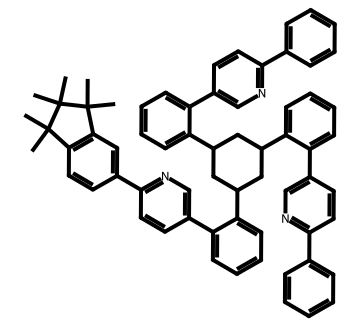 CC1(C)c2ccc(-c3ccc(-c4ccccc4C4CC(c5ccccc5-c5ccc(-c6ccccc6)nc5)CC(c5ccccc5-c5ccc(-c6ccccc6)nc5)C4)cn3)cc2C(C)(C)C1(C)C